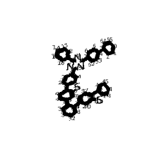 c1ccc(-c2ccc(-c3nc(-c4ccccc4)nc(-c4ccc5c(c4)sc4cc(-c6ccccc6-c6ccc7c(c6)sc6ccccc67)ccc45)n3)cc2)cc1